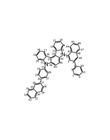 c1ccc(-c2cc(-n3c4ccccc4c4c5c6ccccc6n(-c6ccc(-c7ccc8ccccc8c7)cc6)c5ccc43)c3ccccc3c2)cc1